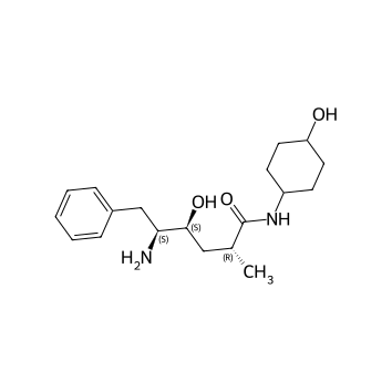 C[C@H](C[C@H](O)[C@@H](N)Cc1ccccc1)C(=O)NC1CCC(O)CC1